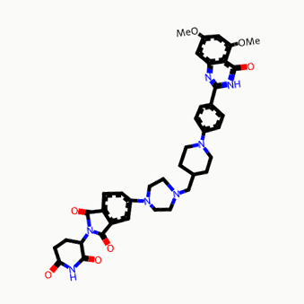 COc1cc(OC)c2c(=O)[nH]c(-c3ccc(N4CCC(CN5CCN(c6ccc7c(c6)C(=O)N(C6CCC(=O)NC6=O)C7=O)CC5)CC4)cc3)nc2c1